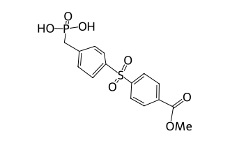 COC(=O)c1ccc(S(=O)(=O)c2ccc(CP(=O)(O)O)cc2)cc1